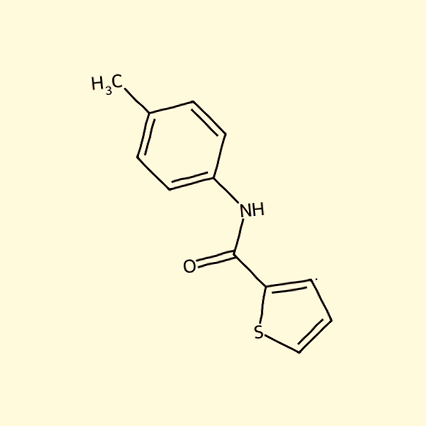 Cc1ccc(NC(=O)c2[c]ccs2)cc1